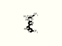 C[C@@H](Nc1cnnc(-c2c[nH]c3ncc(C(F)(F)F)cc23)c1)C(=O)NCC(F)(F)F